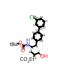 CCOC(=O)C(CO)C[C@@H](Cc1ccc(-c2cccc(Cl)c2)cc1)NC(=O)OC(C)(C)C